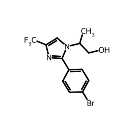 CC(CO)n1cc(C(F)(F)F)nc1-c1ccc(Br)cc1